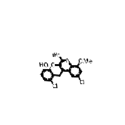 COc1cc(Cl)cc2c(Cc3ccccc3Cl)c(C(=O)O)c(C(C)C)nc12